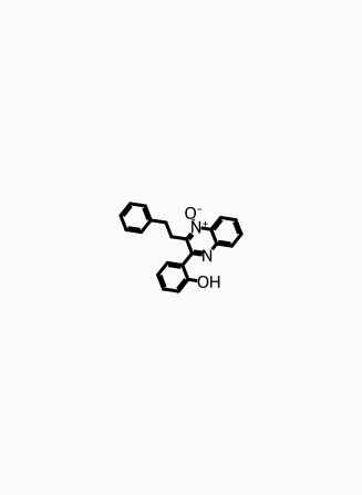 [O-][n+]1c(CCc2ccccc2)c(-c2ccccc2O)nc2ccccc21